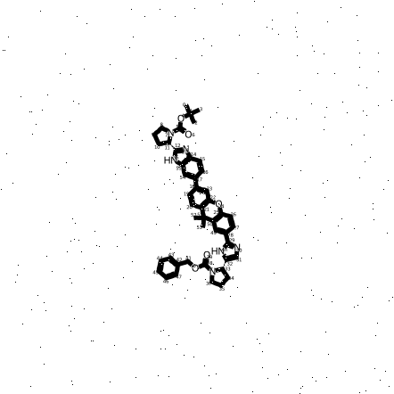 CC(C)(C)OC(=O)N1CCC[C@H]1c1nc2ccc(-c3ccc4c(c3)Oc3ccc(-c5ncc([C@@H]6CCCN6C(=O)OCc6ccccc6)[nH]5)cc3C4(C)C)cc2[nH]1